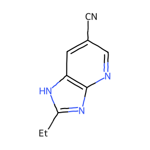 CCc1nc2ncc(C#N)cc2[nH]1